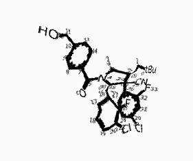 CC(C)(C)C[C@@H]1CN(C(=O)c2ccc(CO)cc2)[C@H](C2CC=CC(Cl)=C2F)[C@@]1(C#N)c1ccc(Cl)cc1F